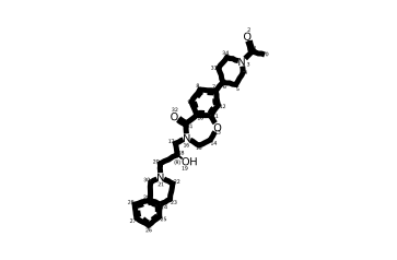 CC(=O)N1CCC(c2ccc3c(c2)OCCN(C[C@H](O)CN2CCc4ccccc4C2)C3=O)CC1